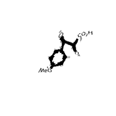 COc1ccc(C(=O)C(=O)C(=O)O)cc1